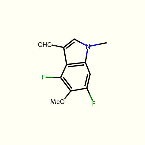 COc1c(F)cc2c(c(C=O)cn2C)c1F